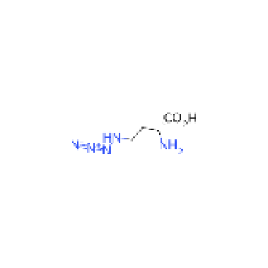 [N-]=[N+]=NNCC[C@@H](N)C(=O)O